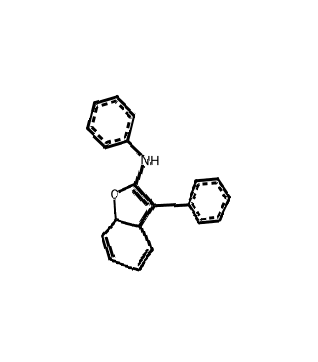 C1=CC2OC(Nc3ccccc3)=C(c3ccccc3)C2C=C1